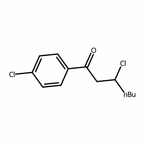 CCCCC(Cl)CC(=O)c1ccc(Cl)cc1